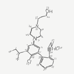 CCC(F)c1cc(N2CCN(CCO)CC2)cc(-c2ccccc2C#N)c1Cl.Cl